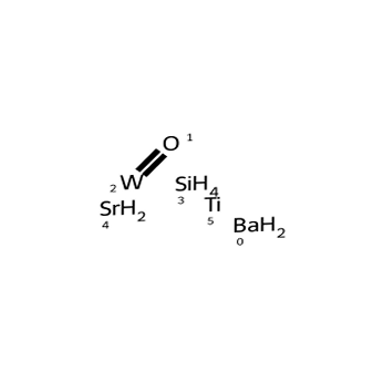 [BaH2].[O]=[W].[SiH4].[SrH2].[Ti]